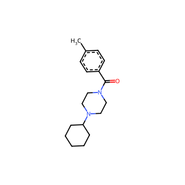 Cc1ccc(C(=O)N2CCN(C3CCCCC3)CC2)cc1